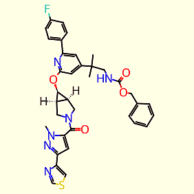 Cn1nc(-c2cscn2)cc1C(=O)N1C[C@@H]2[C@H](C1)[C@@H]2Oc1cc(C(C)(C)CNC(=O)OCc2ccccc2)cc(-c2ccc(F)cc2)n1